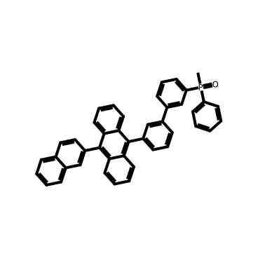 CP(=O)(c1ccccc1)c1cccc(-c2cccc(-c3c4ccccc4c(-c4ccc5ccccc5c4)c4ccccc34)c2)c1